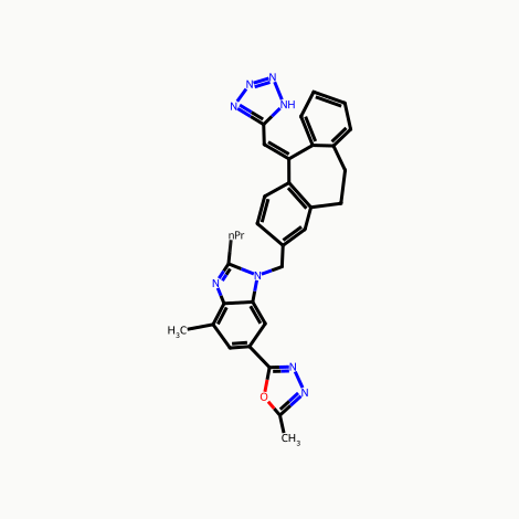 CCCc1nc2c(C)cc(-c3nnc(C)o3)cc2n1Cc1ccc2c(c1)CCc1ccccc1C2=Cc1nnn[nH]1